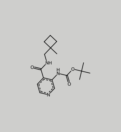 CC1(CNC(=O)c2ccncc2NC(=O)OC(C)(C)C)CCC1